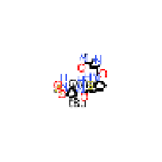 COc1c(NC(=O)c2cc3cccc(NC(=O)c4cncc(C(=O)N(C)C)c4)c3s2)cc(C(C)(C)C)cc1NS(C)(=O)=O